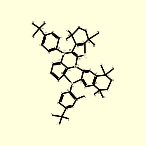 Cc1cc(C(C)(C)C)ccc1N1c2cc3c(cc2B2c4oc5c(c4N(c4ccc(C(C)(C)C)cc4)c4cccc1c42)C(C)(C)CCC5(C)C)C(C)(C)CCC3(C)C